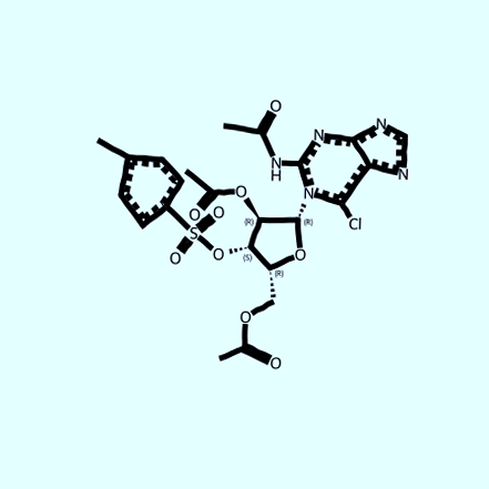 CC(=O)Nc1nc2ncnc-2c(Cl)n1[C@@H]1O[C@H](COC(C)=O)[C@H](OS(=O)(=O)c2ccc(C)cc2)[C@H]1OC(C)=O